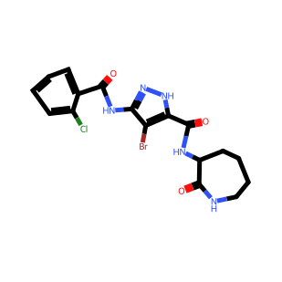 O=C(Nc1n[nH]c(C(=O)NC2CCCCNC2=O)c1Br)c1ccccc1Cl